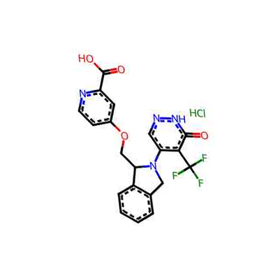 Cl.O=C(O)c1cc(OCC2c3ccccc3CN2c2cn[nH]c(=O)c2C(F)(F)F)ccn1